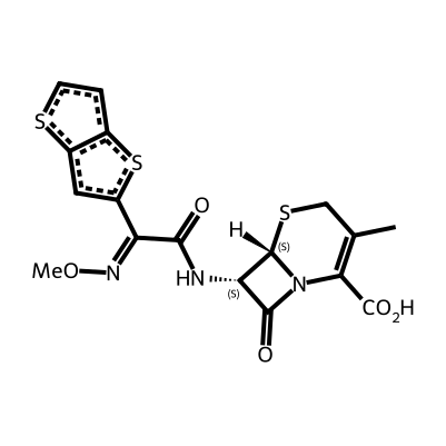 CON=C(C(=O)N[C@H]1C(=O)N2C(C(=O)O)=C(C)CS[C@@H]12)c1cc2sccc2s1